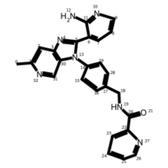 Cc1cc2nc(-c3cccnc3N)n(-c3ccc(CNC(=O)c4ccccn4)cc3)c2cn1